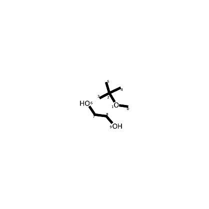 COC(C)(C)C.OCCO